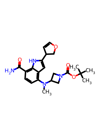 CN(c1ccc(C(N)=O)c2[nH]c(C3C=COC3)cc12)C1CN(C(=O)OC(C)(C)C)C1